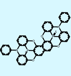 S=P12c3c4cccc3N(c3ccccc3)c3cccc(c31)Oc1c2c(cc2cc3c5c(c12)Oc1cccc2c1P5(=S)c1c(cccc1N2c1ccccc1)O3)O4